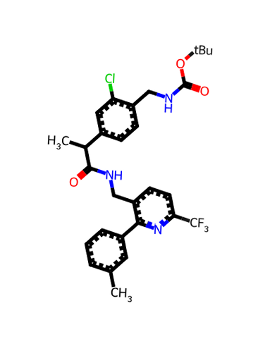 Cc1cccc(-c2nc(C(F)(F)F)ccc2CNC(=O)C(C)c2ccc(CNC(=O)OC(C)(C)C)c(Cl)c2)c1